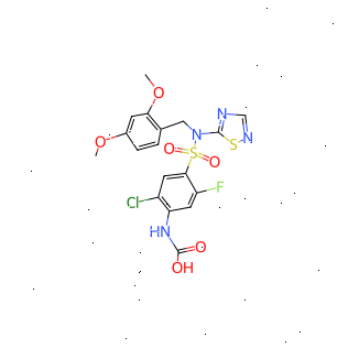 COc1ccc(CN(c2ncns2)S(=O)(=O)c2cc(Cl)c(NC(=O)O)cc2F)c(OC)c1